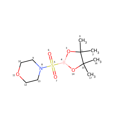 CC1(C)OB(S(=O)(=O)N2CCOCC2)OC1(C)C